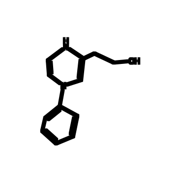 OCCC1=CN(c2ccccc2)C=CN1